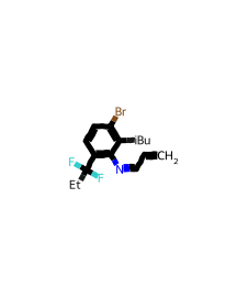 C=C/C=N\c1c(C(F)(F)CC)ccc(Br)c1C(C)CC